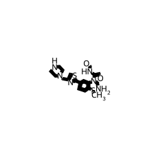 CSc1ccc(-c2nc(CN3CCNCC3)cs2)cc1N1C(NC=O)=COC1N